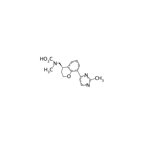 Cc1nccc(-c2cccc3c2OCC[C@H]3CN(C)C(=O)O)n1